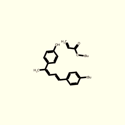 C=CC(=O)OC(C)(C)C.CC(=CC=Cc1ccc(C(C)(C)C)cc1)c1ccc(O)cc1